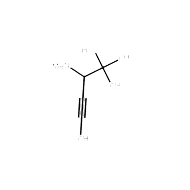 CC#CC(NC)C(C)(C)C